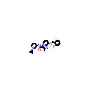 Cc1nc2c(OCc3c(F)cccc3F)cccn2c1C(=O)N[C@H]1CCCN(C2CC2)C1